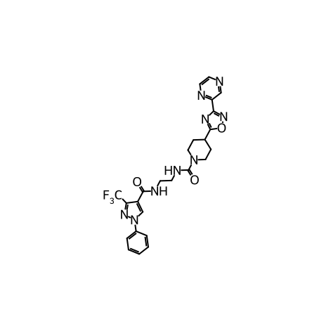 O=C(NCCNC(=O)N1CCC(c2nc(-c3cnccn3)no2)CC1)c1cn(-c2ccccc2)nc1C(F)(F)F